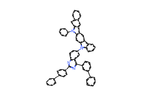 c1ccc(-c2ccc(-c3nc(-c4cccc(-c5ccccc5)c4)c4cc(-n5c6ccccc6c6cc7c8cc9ccccc9cc8n(-c8ccccc8)c7cc65)ccc4n3)cc2)cc1